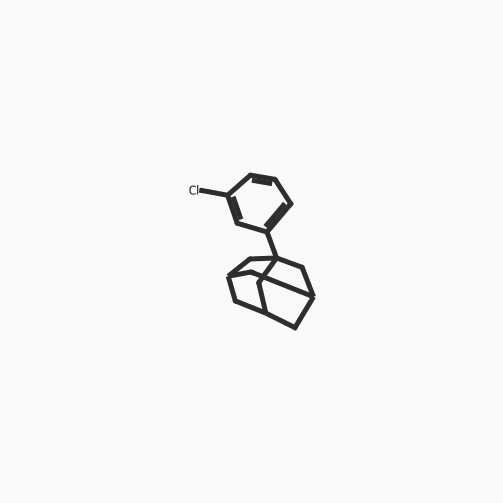 Clc1cccc(C23CC4CC(CC(C4)C2)C3)c1